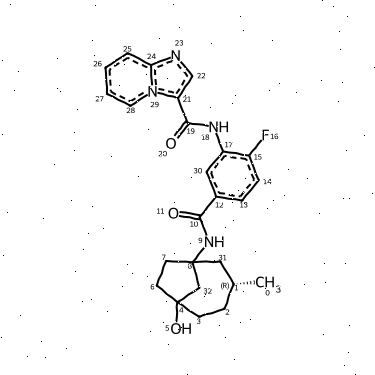 C[C@@H]1CCC2(O)CCC(NC(=O)c3ccc(F)c(NC(=O)c4cnc5ccccn45)c3)(C1)C2